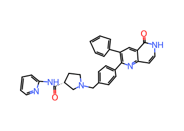 O=C(Nc1ccccn1)[C@@H]1CCN(Cc2ccc(-c3nc4cc[nH]c(=O)c4cc3-c3ccccc3)cc2)C1